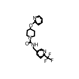 O=C(NCc1ccc(C(F)(F)F)nc1)N1CCC(Oc2ccccn2)CC1